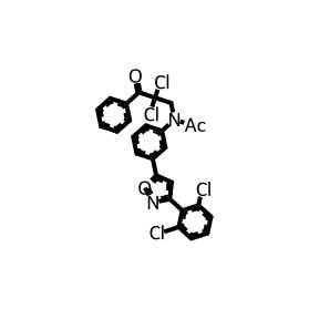 CC(=O)N(CC(Cl)(Cl)C(=O)c1ccccc1)c1cccc(-c2cc(-c3c(Cl)cccc3Cl)no2)c1